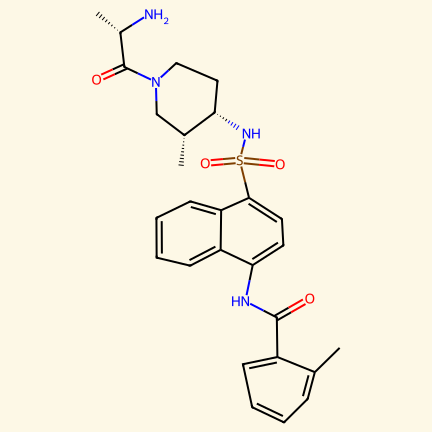 Cc1ccccc1C(=O)Nc1ccc(S(=O)(=O)N[C@H]2CCN(C(=O)[C@H](C)N)C[C@H]2C)c2ccccc12